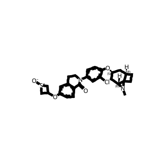 CN1[C@@H]2C[C@@H](Oc3ccc(N4CCc5cc(OC6C[S+]([O-])C6)ccc5C4=O)cc3Cl)C[C@H]3CCC321